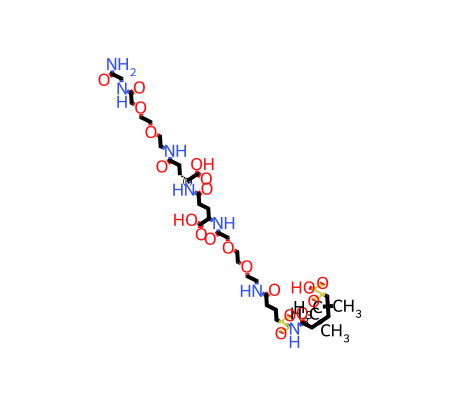 CC(C)(CC(=O)NS(=O)(=O)CCCC(=O)NCCOCCOCC(=O)NC(CCC(=O)N[C@H](CCC(=O)NCCOCCOCC(=O)NCC(N)=O)C(=O)O)C(=O)O)CC(C)(C)CS(=O)(=O)O